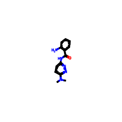 CN(C)c1ccc(NC(=O)c2ccccc2N)nn1